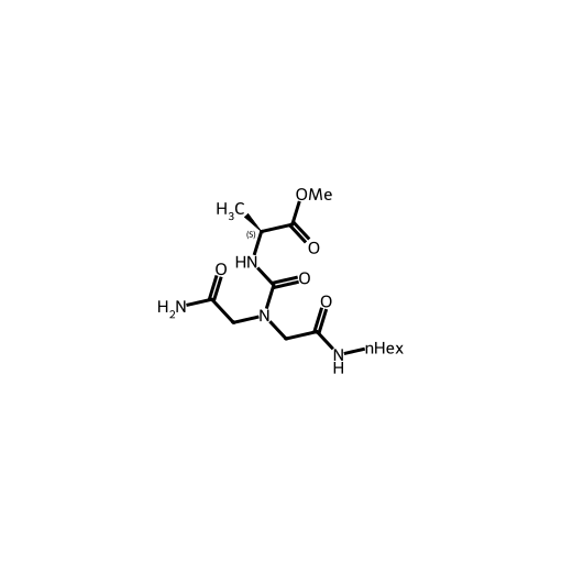 CCCCCCNC(=O)CN(CC(N)=O)C(=O)N[C@@H](C)C(=O)OC